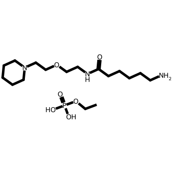 CCOP(=O)(O)O.NCCCCCC(=O)NCCOCCN1CCCCC1